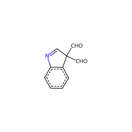 O=CC1(C=O)C=Nc2ccccc21